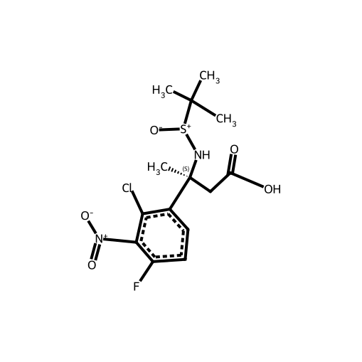 CC(C)(C)[S+]([O-])N[C@@](C)(CC(=O)O)c1ccc(F)c([N+](=O)[O-])c1Cl